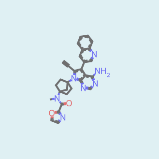 C#Cc1c(-c2cnc3ccccc3c2)c2c(N)ncnc2n1C12CCC(N(C)C(=O)c3ncco3)(CC1)C2